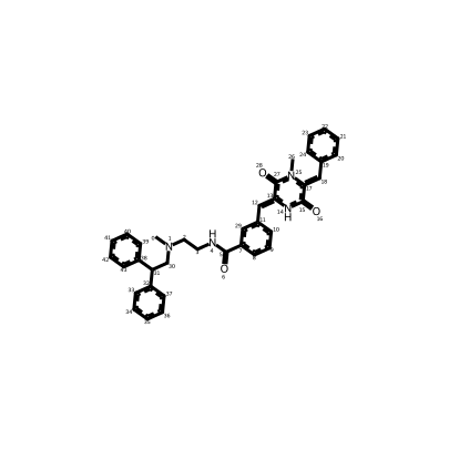 CN(CCNC(=O)c1cccc(C=c2[nH]c(=O)c(=Cc3ccccc3)n(C)c2=O)c1)CC(c1ccccc1)c1ccccc1